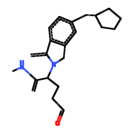 C=C(NC)C(CCC=O)N1Cc2cc(CC3CCCC3)ccc2C1=C